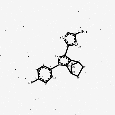 CC(C)(C)c1cnc(-c2nn(-c3ccc(F)cc3)c3c2C2CCC3C2)o1